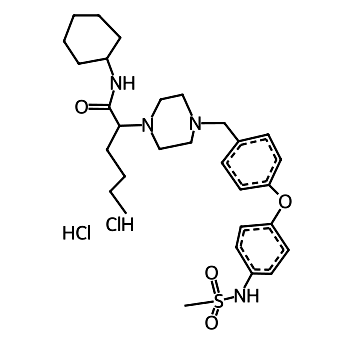 CCCCC(C(=O)NC1CCCCC1)N1CCN(Cc2ccc(Oc3ccc(NS(C)(=O)=O)cc3)cc2)CC1.Cl.Cl